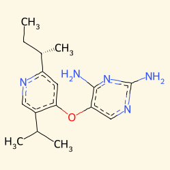 CC[C@H](C)c1cc(Oc2cnc(N)nc2N)c(C(C)C)cn1